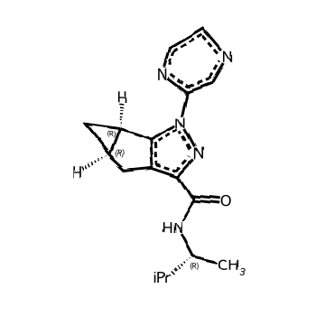 CC(C)[C@@H](C)NC(=O)c1nn(-c2cnccn2)c2c1C[C@H]1C[C@@H]21